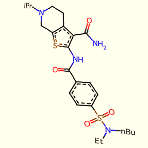 CCCCN(CC)S(=O)(=O)c1ccc(C(=O)Nc2sc3c(c2C(N)=O)CCN(C(C)C)C3)cc1